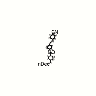 CCCCCCCCCCCC1CCC(C(=O)Oc2ccc(CCc3ccc(C#N)cc3)cc2)CC1